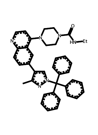 CCNC(=O)N1CCN(c2ccnc3ccc(-c4cn(C(c5ccccc5)(c5ccccc5)c5ccccc5)nc4C)cc23)CC1